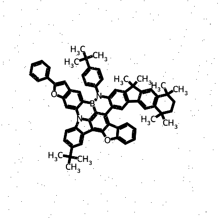 CC(C)(C)c1ccc(N2B3c4cc5cc(-c6ccccc6)oc5cc4-n4c5ccc(C(C)(C)C)cc5c5c6oc7ccccc7c6c(c3c54)-c3cc4c(cc32)C(C)(C)c2cc3c(cc2-4)C(C)(C)CCC3(C)C)cc1